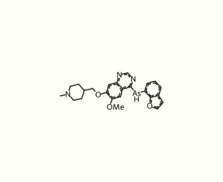 COc1cc2c([AsH]c3cccc4ccoc34)ncnc2cc1OCC1CCN(C)CC1